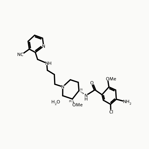 COc1cc(N)c(Cl)cc1C(=O)N[C@H]1CCN(CCCNCc2ncccc2C#N)C[C@H]1OC.O